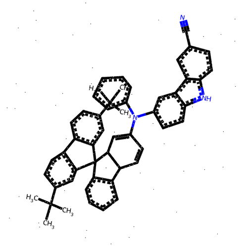 CC(C)(C)c1ccc2c(c1)C1(c3cc(C(C)(C)C)ccc3-2)c2ccccc2C2C=CC(N(c3ccccc3)c3ccc4[nH]c5ccc(C#N)cc5c4c3)=CC21